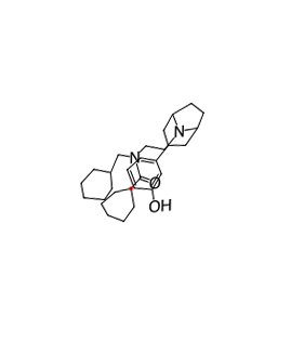 O=C(C1CCCCC1)N(CCN1C2CCC1CC(c1cccc(O)c1)C2)CC1CCCCC1